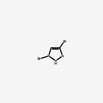 BrC1=CN(Br)N[N]1